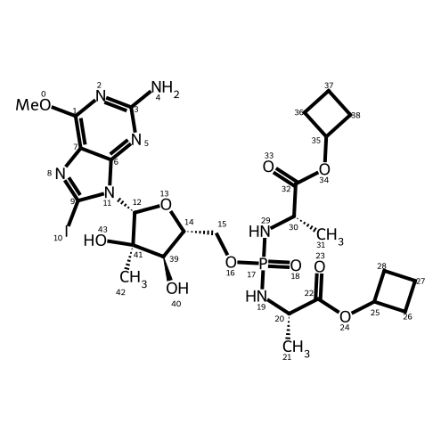 COc1nc(N)nc2c1nc(I)n2[C@@H]1O[C@H](COP(=O)(N[C@@H](C)C(=O)OC2CCC2)N[C@@H](C)C(=O)OC2CCC2)[C@@H](O)[C@@]1(C)O